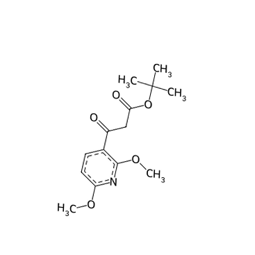 COc1ccc(C(=O)CC(=O)OC(C)(C)C)c(OC)n1